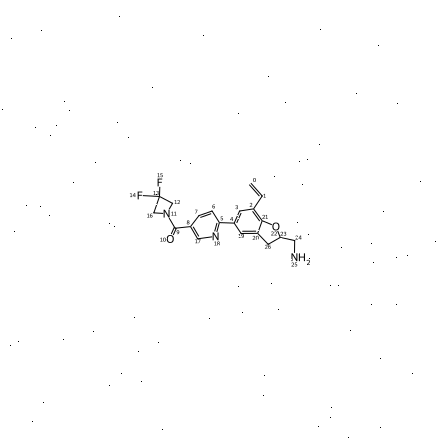 C=Cc1cc(-c2ccc(C(=O)N3CC(F)(F)C3)cn2)cc2c1OC(CN)C2